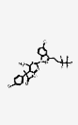 CC1(c2ccc(Br)cc2)C(=O)Nc2nc(-n3nc(CCC(F)(F)C(F)(F)F)c4cc(Cl)ccc43)nc(N)c21